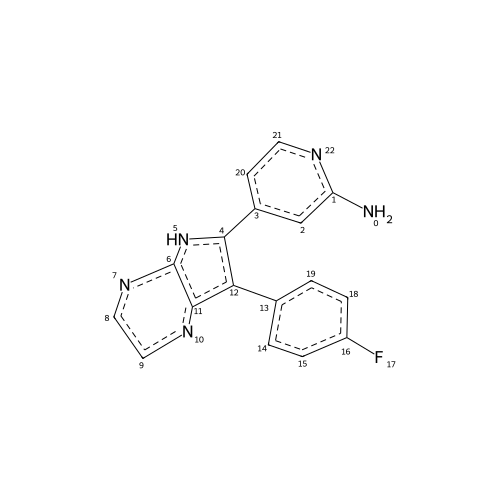 Nc1cc(-c2[nH]c3nccnc3c2-c2ccc(F)cc2)ccn1